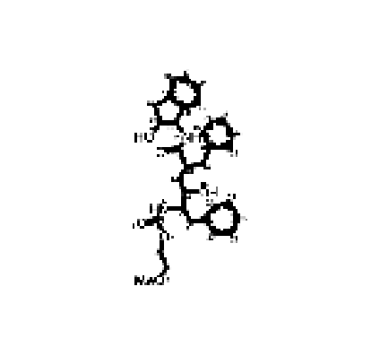 COCCOC(=O)NC(Cc1ccccc1)C(O)CC(Cc1ccccc1)C(=O)NC1c2ccccc2CC1O